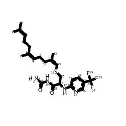 CC(C)=CCCC(C)=CCCC(C)=CSCC(Nc1ccc(C(F)(F)F)cn1)C(=O)NC(N)=O